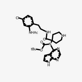 CC(=O)Nc1cc(Cl)ccc1CCNC(=O)C1(N(C(=O)OC(C)(C)C)c2ncnc3[nH]ccc23)CCNCC1